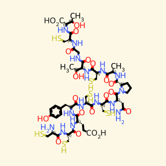 C[C@H](NC(=O)[C@@H]1CCCN1C(=O)[C@H](CC(N)=O)NC(=O)[C@H](CS)NC(=O)[C@H](CS)NC(=O)[C@H](Cc1ccc(O)cc1)NC(=O)[C@H](CCC(=O)O)NC(=O)[C@H](CS)NC(=O)[C@@H](N)CS)C(=O)N[C@@H](CS)C(=O)N[C@H](C(=O)NCC(=O)N[C@@H](CS)C(=O)N[C@H](C(=O)O)[C@@H](C)O)[C@@H](C)O